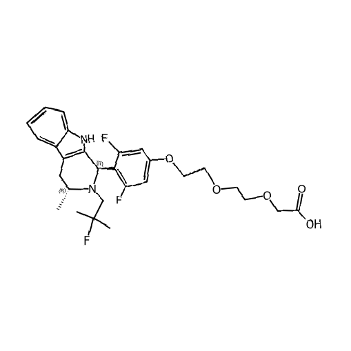 C[C@@H]1Cc2c([nH]c3ccccc23)[C@@H](c2c(F)cc(OCCOCCOCC(=O)O)cc2F)N1CC(C)(C)F